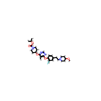 COC1CCN(CCc2ccc(Oc3ncnc(OC4CCN(C(=O)OC(C)C)CC4)c3C)c(F)c2)CC1